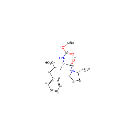 CC(C)(C)OC(=O)N[C@@H](CC(Cc1ccccc1)C(=O)O)C(=O)N1CCC[C@H]1C(=O)O